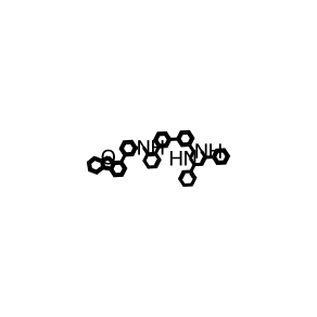 C1=CC(C2C=C(c3ccccc3)NC(c3cccc(-c4cccc(C5=C(Nc6cccc(-c7cccc8c7oc7ccccc78)c6)CCC=C5)c4)c3)N2)=CCC1